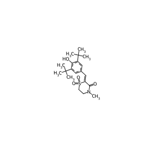 CN1CCS(=O)(=O)C(=Cc2cc(C(C)(C)C)c(O)c(C(C)(C)C)c2)C1=O